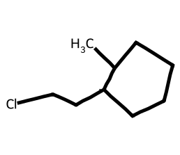 CC1CCCC[C]1CCCl